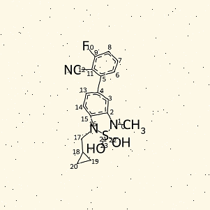 CN1c2cc(-c3cccc(F)c3C#N)ccc2N(CC2CC2)S1(O)O